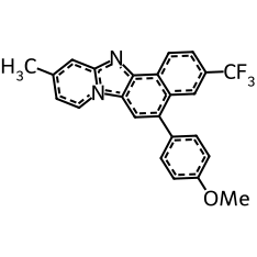 COc1ccc(-c2cc3c(nc4cc(C)ccn43)c3ccc(C(F)(F)F)cc23)cc1